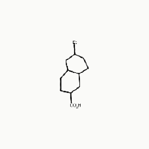 CCC1CCC2CC(C(=O)O)CCC2C1